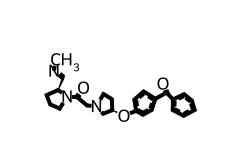 CN=C[C@@H]1CCCN1C(=O)CN1CC[C@H](Oc2ccc(C(=O)c3ccccc3)cc2)C1